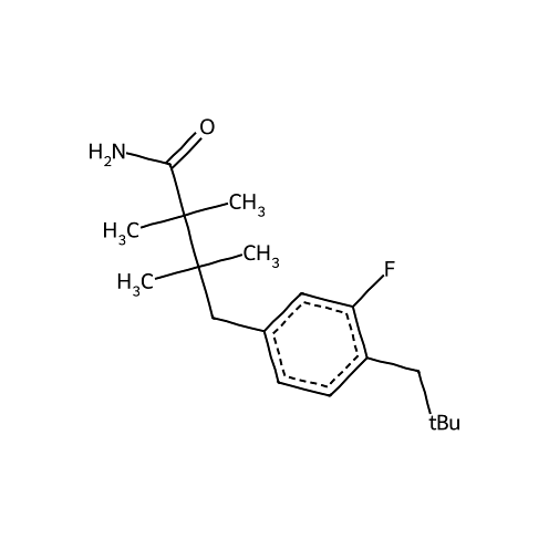 CC(C)(C)Cc1ccc(CC(C)(C)C(C)(C)C(N)=O)cc1F